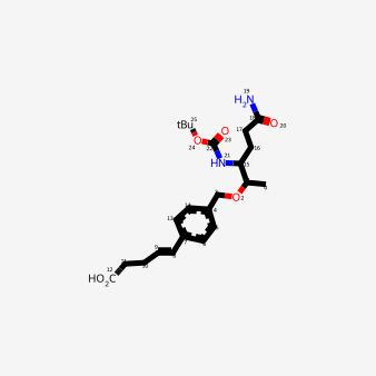 CC(OCc1ccc(/C=C/CCC(=O)O)cc1)C(CCC(N)=O)NC(=O)OC(C)(C)C